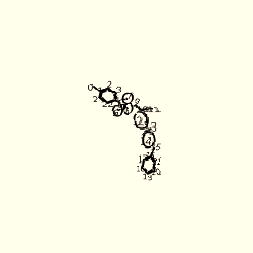 Cc1ccc(S(=O)(=O)OCC(C)OCOCc2ccccc2)cc1